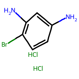 Cl.Cl.Nc1ccc(Br)c(N)c1